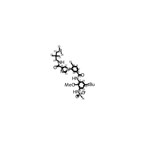 COc1c(NC(=O)c2ccc(C)c(-n3cnc(C(=O)NCC(C)(C)CN(C)C)c3)c2)cc(C(C)(C)C)cc1NS(C)(=O)=O